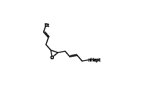 CCC=CCC1OC1CC=CCCCCCCCC